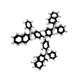 CC1C(N(c2ccccc2)C2C=CC(N(c3ccc(N(C4=CCC5C=CC=CC5=C4)c4ccccc4)cc3)c3ccc(N(c4ccccc4)c4ccc5c(c4)CCC=C5)cc3)=CC2)=CC=C2C=CC=CC21